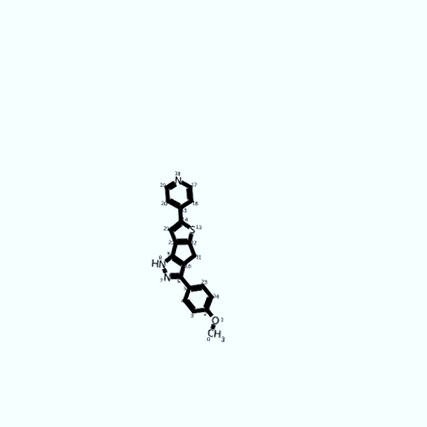 COc1ccc(-c2n[nH]c3c2Cc2sc(-c4ccncc4)cc2-3)cc1